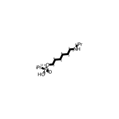 CC(C)NCCCCCCOP(=O)(O)C(C)C